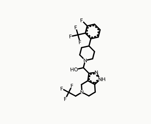 OC(c1n[nH]c2c1CN(CC(F)(F)F)CC2)N1CCC(c2cccc(F)c2C(F)(F)F)CC1